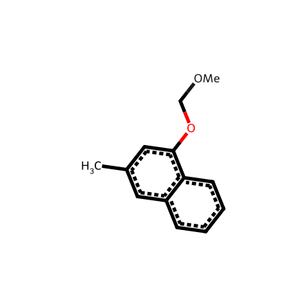 COCOc1cc(C)cc2ccccc12